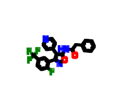 O=C(Cc1ccccc1)Nc1onc(-c2cc(C(F)(F)F)ccc2F)c1-c1ccncc1